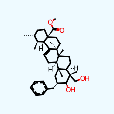 COC(=O)[C@]12CC[C@@H](C)[C@H](C)[C@H]1C1=CC[C@@H]3[C@@]4(C)C[C@@H](Cc5ccccc5)[C@H](O)[C@@](C)(CO)[C@@H]4CC[C@@]3(C)[C@]1(C)CC2